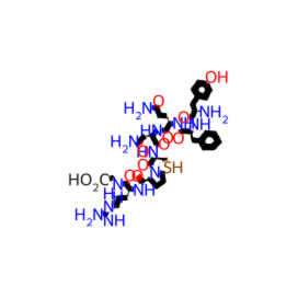 N=C(N)NCCC[C@@H](NC(=O)[C@@H]1CCCN1C(=O)[C@H](CS)NC(=O)[C@H](CC(N)=O)NC(=O)[C@H](CCC(N)=O)NC(=O)[C@H](Cc1ccccc1)NC(=O)[C@@H](N)Cc1ccc(O)cc1)C(=O)NCC(=O)O